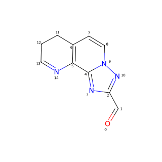 O=Cc1nc2c3c(ccn2n1)CCC=N3